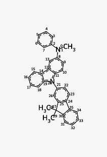 CN(c1ccccc1)c1ccc2c(c1)c1ccccc1n2-c1ccc2c(c1)C(C)(C)c1ccccc1-2